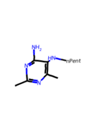 CCCCCNc1c(C)nc(C)nc1N